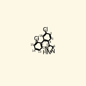 Clc1ccc(-c2cn[nH]n2)c(-c2ccccc2Cl)c1